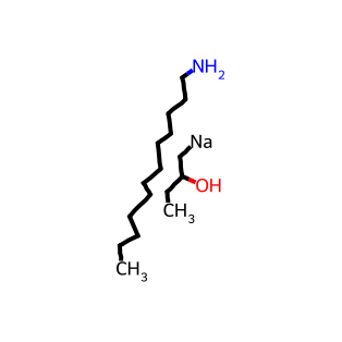 CCC(O)[CH2][Na].CCCCCCCCCCCCN